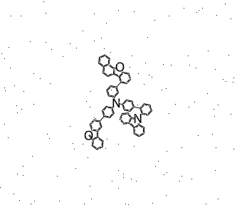 c1cc(-c2cccc3oc4c5ccccc5ccc4c23)cc(N(c2ccc(-c3ccc4oc5ccccc5c4c3)cc2)c2ccc(-c3ccccc3-n3c4ccccc4c4ccccc43)cc2)c1